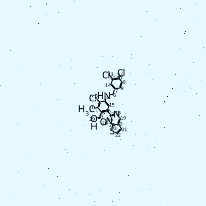 Cc1c(Cl)c(NCc2ccc(Cl)c(Cl)c2)cc(-c2ncc3ccsc3n2)c1C(=O)O